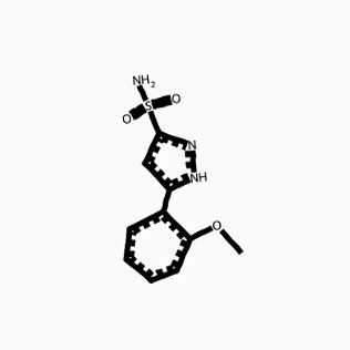 COc1ccccc1-c1cc(S(N)(=O)=O)n[nH]1